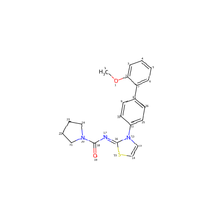 COc1ccccc1-c1ccc(-n2ccsc2=NC(=O)N2CCCC2)cc1